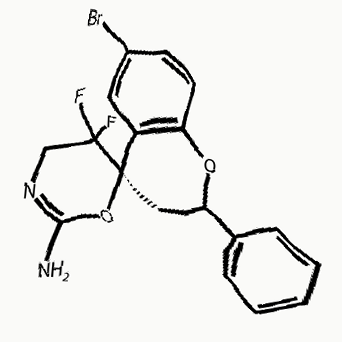 NC1=NCC(F)(F)[C@]2(CC(c3ccccc3)Oc3ccc(Br)cc32)O1